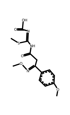 CON=C(CC(=O)NC(=NC(=O)O)SC)c1ccc(OC)cc1